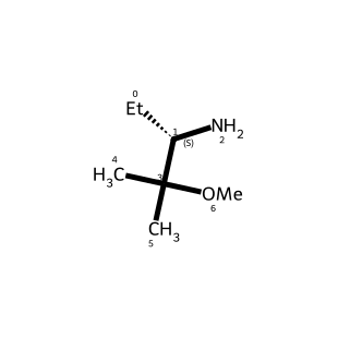 CC[C@H](N)C(C)(C)OC